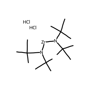 CC(C)(C)[N]([Zr][N](C(C)(C)C)C(C)(C)C)C(C)(C)C.Cl.Cl